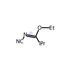 CCO/C(=N/C#N)C(C)C